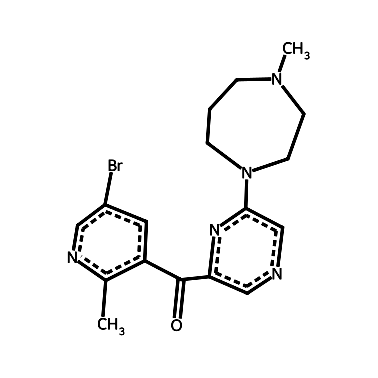 Cc1ncc(Br)cc1C(=O)c1cncc(N2CCCN(C)CC2)n1